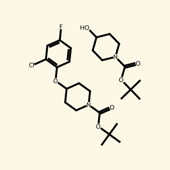 CC(C)(C)OC(=O)N1CCC(O)CC1.CC(C)(C)OC(=O)N1CCC(Oc2ccc(F)cc2Cl)CC1